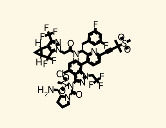 CC(C)(C#Cc1ccc(-c2ccc(Cl)c3c(N(C(=O)N4CCC[C@H]4CN)S(C)(=O)=O)nn(CC(F)(F)F)c23)c([C@H](Cc2cc(F)cc(F)c2)NC(=O)Cn2nc(C(F)(F)F)c3c2C(F)(F)[C@@H]2C[C@H]32)n1)S(C)(=O)=O